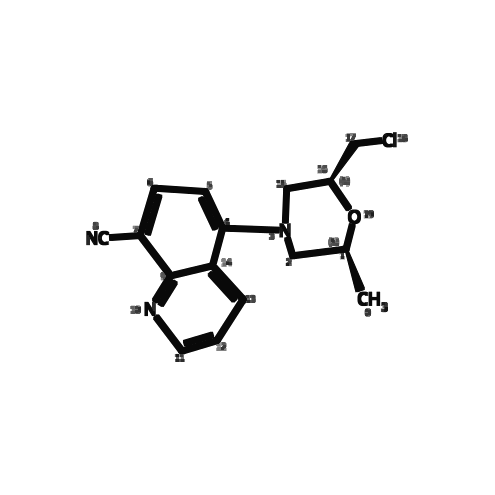 C[C@H]1CN(c2ccc(C#N)c3ncccc23)C[C@@H](CCl)O1